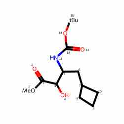 COC(=O)C(O)C(CC1CCC1)NC(=O)OC(C)(C)C